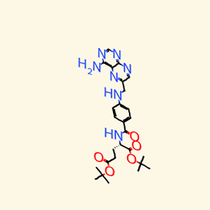 CC(C)(C)OC(=O)CC[C@H](NC(=O)c1ccc(NCc2cnc3ncnc(N)c3n2)cc1)C(=O)OC(C)(C)C